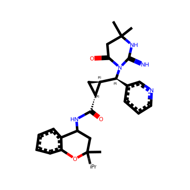 CC(C)C1(C)CC(NC(=O)[C@@H]2C[C@H]2[C@H](c2cccnc2)N2C(=N)NC(C)(C)CC2=O)c2ccccc2O1